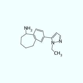 CCn1nccc1-c1ccc2c(c1)CCCCC2N